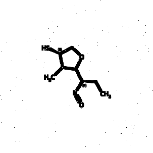 CC[C@@H](N=O)C1OC[C@H](S)C1C